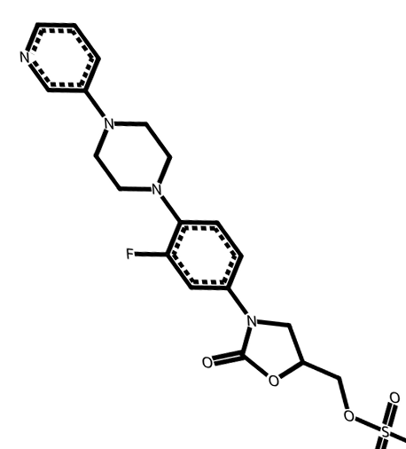 CS(=O)(=O)OCC1CN(c2ccc(N3CCN(c4cccnc4)CC3)c(F)c2)C(=O)O1